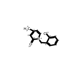 Cc1ccn(Cc2ccccc2Cl)c(=O)c1